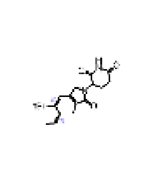 C/C=C\C(=C/C1=C(C)C(=O)N(C2CCC(=O)NC2=O)C1)C(C)(C)C